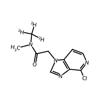 [2H]C([2H])([2H])N(C)C(=O)Cn1cnc2c(Cl)nccc21